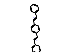 [c]1cc(/C=C/c2ccccc2)ccc1/C=C/c1ccccc1